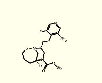 CC(C)(C)OC(=O)N1C[C@H](CCc2c(N)cncc2F)[N@]2C[C@@H]1CCCS2